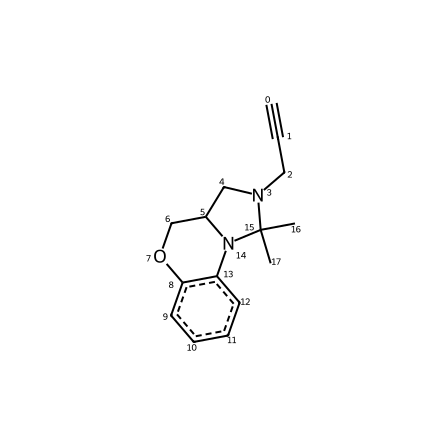 C#CCN1CC2COc3ccccc3N2C1(C)C